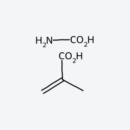 C=C(C)C(=O)O.NC(=O)O